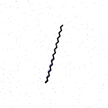 C=C/C=C/C=C/C=C/C=C/CCCCCCCCCCCC